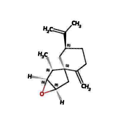 C=C(C)[C@H]1CCC(=C)[C@@]2(C1)C[C@H]1O[C@H]1[C@@H]2C